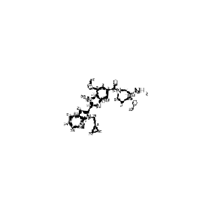 COc1cc(C(=O)N2CC[C@@H](OC)[C@@H](N)C2)cc2nc(-c3cc4cccnc4n3CC3CC3)n(C)c12